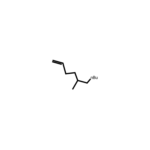 C=CCCC(C)CCCCC